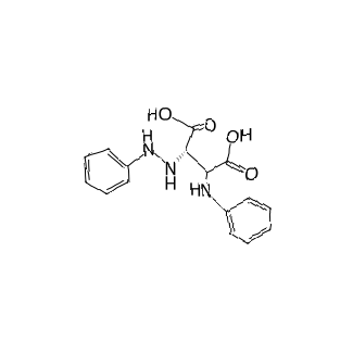 O=C(O)C(Nc1ccccc1)[C@H](NNc1ccccc1)C(=O)O